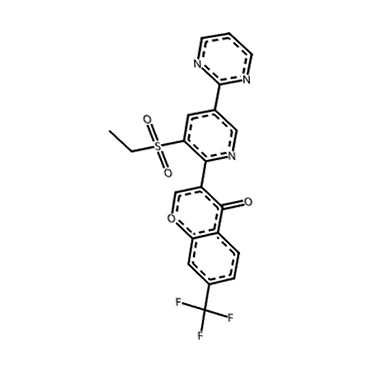 CCS(=O)(=O)c1cc(-c2ncccn2)cnc1-c1coc2cc(C(F)(F)F)ccc2c1=O